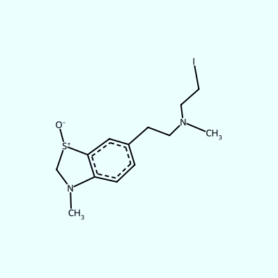 CN(CCI)CCc1ccc2c(c1)[S+]([O-])CN2C